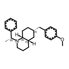 COc1ccc(C[C@H]2CC[C@@H]3[C@@H](CCCN3[C@H](C)c3ccccc3)C2)cc1